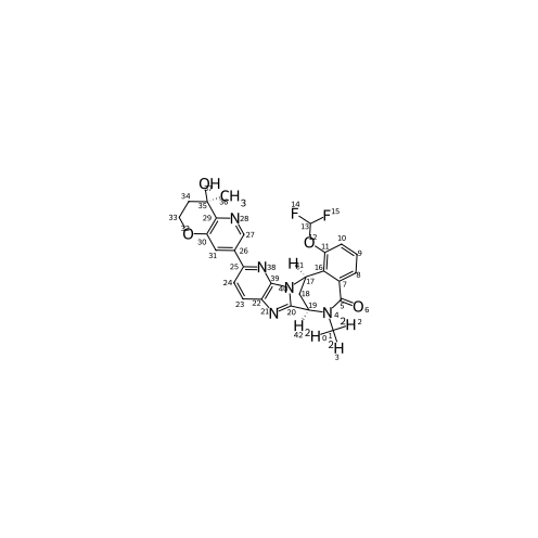 [2H]C([2H])([2H])N1C(=O)c2cccc(OC(F)F)c2[C@H]2C[C@@H]1c1nc3ccc(-c4cnc5c(c4)OCC[C@@]5(C)O)nc3n12